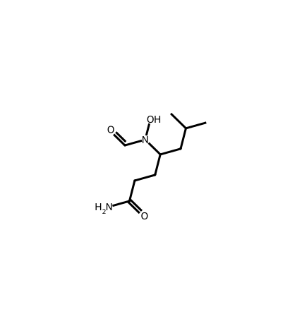 CC(C)CC(CCC(N)=O)N(O)C=O